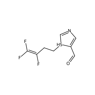 O=CC1=CN=C[SH]1CCC(F)=C(F)F